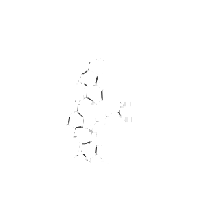 COc1cnc2c(Nc3ccc4c(c3)[C@@](C)(CCOC(=N)N)c3cc(Cl)nc(F)c3O4)nccc2c1